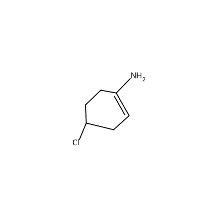 NC1=CCC(Cl)CC1